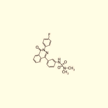 CN(C)S(=O)(=O)Nc1cccc(-c2nn(-c3ccc(F)cc3)c(=O)c3ccccc23)c1